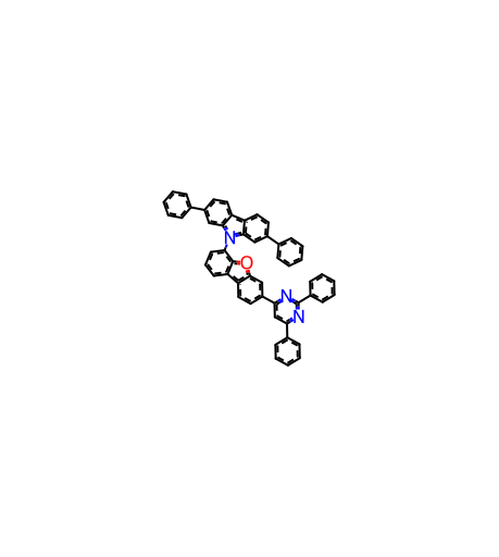 c1ccc(-c2ccc3c4ccc(-c5ccccc5)cc4n(-c4cccc5c4oc4cc(-c6cc(-c7ccccc7)nc(-c7ccccc7)n6)ccc45)c3c2)cc1